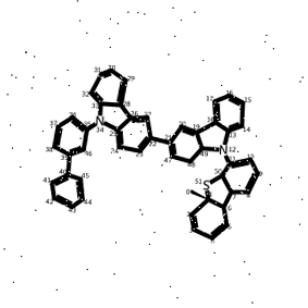 C[C@]12C=CC=CC1C1C=CC=C(N3c4ccccc4C4=CC(c5ccc6c(c5)c5ccccc5n6-c5cccc(-c6ccccc6)c5)=CCC43)C1S2